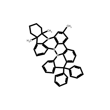 Cc1cc2c3c(c1)N1c4c(cccc4C4(C)CCCCC14C)B3N1c3ccccc3C(c3ccccc3)(c3ccccc3)c3cccc-2c31